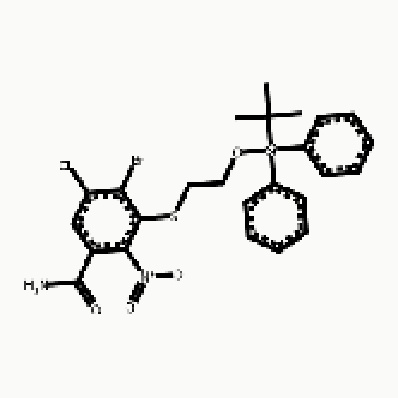 CC(C)(C)[Si](OCCSc1c(Br)c(Cl)cc(C(N)=O)c1[N+](=O)[O-])(c1ccccc1)c1ccccc1